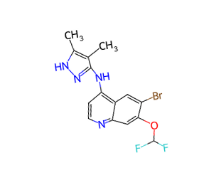 Cc1[nH]nc(Nc2ccnc3cc(OC(F)F)c(Br)cc23)c1C